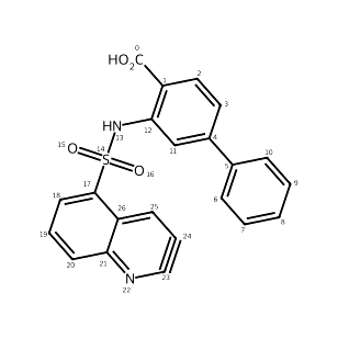 O=C(O)c1ccc(-c2ccccc2)cc1NS(=O)(=O)c1cccc2nc#ccc12